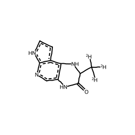 [2H]C([2H])([2H])C1Nc2c(cnc3[nH]ccc23)NC1=O